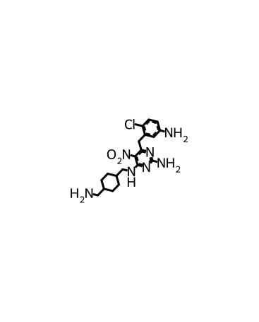 NCC1CCC(CNc2nc(N)nc(Cc3cc(N)ccc3Cl)c2[N+](=O)[O-])CC1